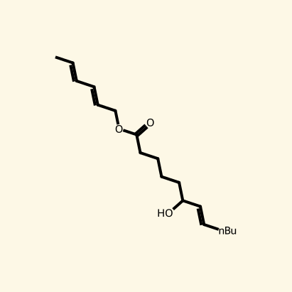 C/C=C/C=C/COC(=O)CCCCC(O)/C=C/CCCC